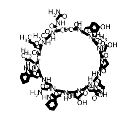 CCCC[C@H]1CN(C)[C@@H](CCCC)C(=O)N[C@@H](C)C(=O)N[C@H](C(=O)NCC(N)=O)CSCC(=O)N[C@@H](Cc2ccc(O)cc2)C(=O)N(C)[C@@H](C)C(=O)N[C@@H](CC(=O)O)C(=O)N2CCC[C@H]2C(=O)N[C@@H](Cc2cnc[nH]2)C(=O)N[C@@H](CCC(=O)O)C(=O)N2C[C@H](O)C[C@H]2C(=O)N[C@@H](Cc2c[nH]c3ccccc23)C(=O)N[C@@H](CCN)C(=O)N[C@@H](Cc2c[nH]c3ccccc23)C(=O)N1C